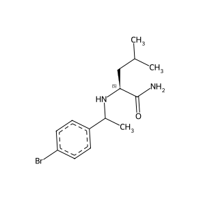 CC(C)C[C@H](NC(C)c1ccc(Br)cc1)C(N)=O